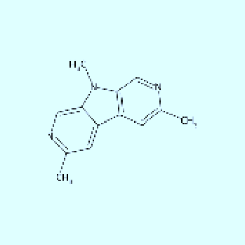 Cc1cc2c3cc(C)ncc3n(C)c2cn1